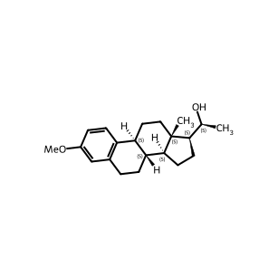 COc1ccc2c(c1)CC[C@@H]1[C@@H]2CC[C@]2(C)[C@@H]([C@H](C)O)CC[C@@H]12